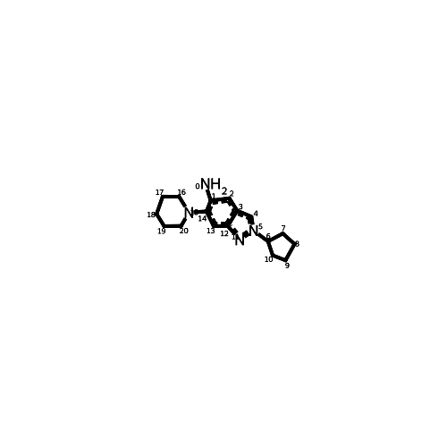 Nc1cc2cn(C3CCCC3)nc2cc1N1CCCCC1